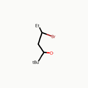 CCC(Br)CC([O])C(C)(C)C